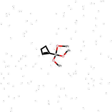 CC(C)O[Si](OC(C)C)(OC(C)C)C1=CCC1